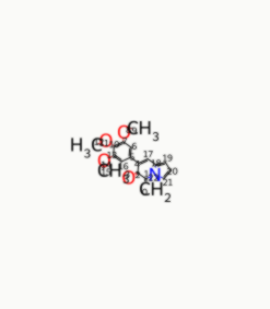 C=c1c(=O)c(-c2cc(OC)c(OC)c(OC)c2)cc2cccn12